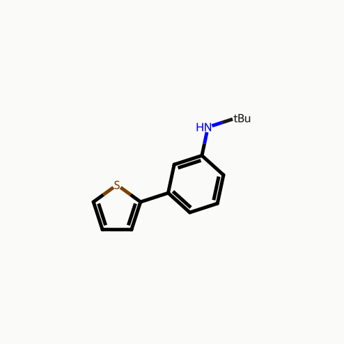 CC(C)(C)Nc1cccc(-c2cccs2)c1